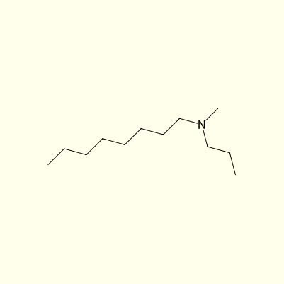 CCCCCCCCN(C)CCC